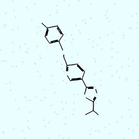 FC(F)c1nnc(-c2ccc(COc3ccc(Cl)cc3)nc2)o1